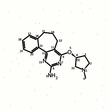 CN1CC[C@H](Oc2nc(N)nc3c2CCCc2ccccc2-3)C1